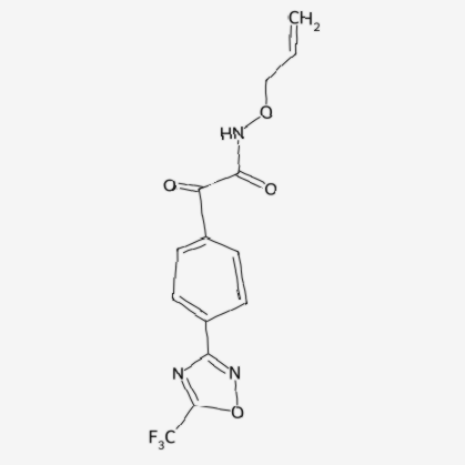 C=CCONC(=O)C(=O)c1ccc(-c2noc(C(F)(F)F)n2)cc1